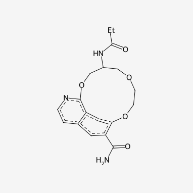 CCC(=O)NC1COCCOc2cc3c(nccc3cc2C(N)=O)OC1